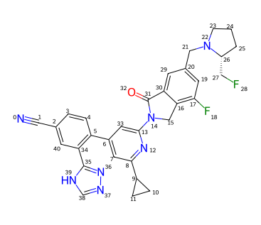 N#Cc1ccc(-c2cc(C3CC3)nc(N3Cc4c(F)cc(CN5CCC[C@@H]5CF)cc4C3=O)c2)c(-c2nnc[nH]2)c1